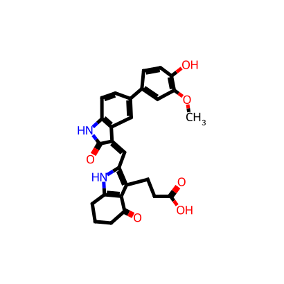 COc1cc(-c2ccc3c(c2)/C(=C/c2[nH]c4c(c2CCC(=O)O)C(=O)CCC4)C(=O)N3)ccc1O